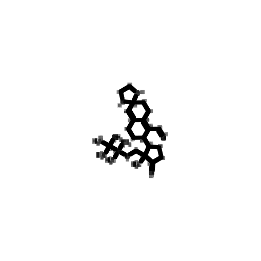 CC1(CO[Si](C)(C)C(C)(C)C)C(=O)CCC1C1CCC2=CC3(CCC2=C1C=O)OCCO3